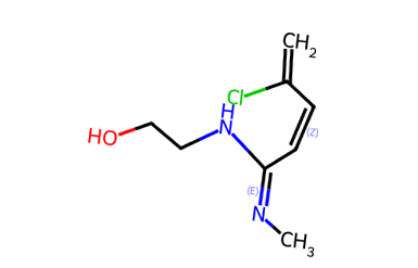 C=C(Cl)/C=C\C(=N/C)NCCO